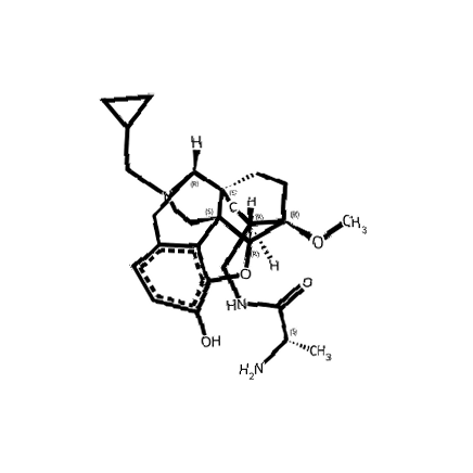 CO[C@]12CC[C@@]3(C[C@@H]1CNC(=O)[C@H](C)N)[C@H]1Cc4ccc(O)c5c4[C@@]3(CCN1CC1CC1)[C@H]2O5